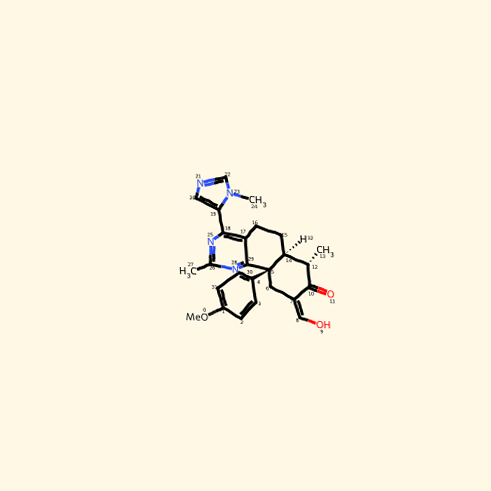 COc1ccc([C@]23CC(=CO)C(=O)[C@@H](C)[C@@H]2CCc2c(-c4cncn4C)nc(C)nc23)cc1